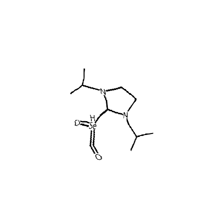 CC(C)N1CCN(C(C)C)C1[SeH](=O)=O